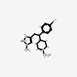 CN1C=C(CC(c2ccc(F)cc2)C2CCN(C(=O)O)CC2)ON1